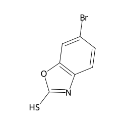 Sc1nc2ccc(Br)cc2o1